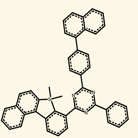 C[Si]1(C)c2ccc3ccccc3c2-c2cccc(-c3nc(-c4ccccc4)nc(-c4ccc(-c5cccc6ccccc56)cc4)n3)c21